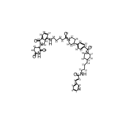 O=C(/C=C/c1cccnc1)NCCCCC1CCN(C(=O)c2ccc(C3CCN(C(=O)CCCCNc4cccc5c4CN(C4CCC(=O)NC4=O)C5=O)CC3)cc2)CC1